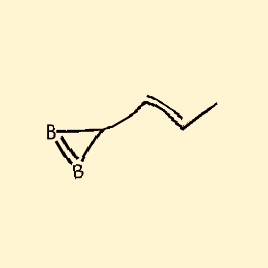 C/C=C/C1B=B1